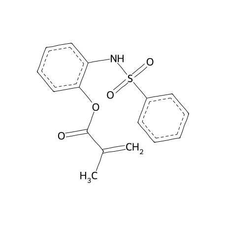 C=C(C)C(=O)Oc1ccccc1NS(=O)(=O)c1ccccc1